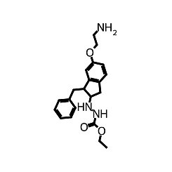 CCOC(=O)NNC1Cc2ccc(OCCN)cc2C1Cc1ccccc1